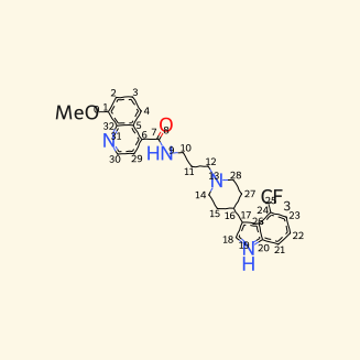 COc1cccc2c(C(=O)NCCCN3CCC(c4c[nH]c5cccc(C(F)(F)F)c45)CC3)ccnc12